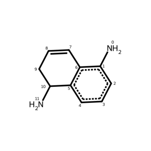 Nc1cccc2c1C=CCC2N